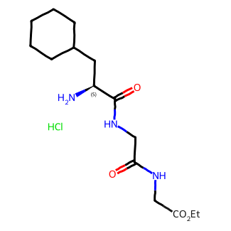 CCOC(=O)CNC(=O)CNC(=O)[C@@H](N)CC1CCCCC1.Cl